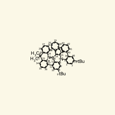 CC(C)(C)c1ccc(N2c3cc(C(C)(C)C)cc4c3B(c3c2oc2ccccc32)N2c3ccccc3C(C)(C)c3cccc-4c32)c(-c2ccccc2)c1